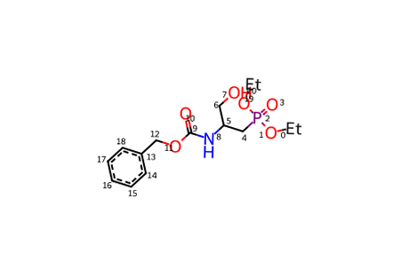 CCOP(=O)(CC(CO)NC(=O)OCc1ccccc1)OCC